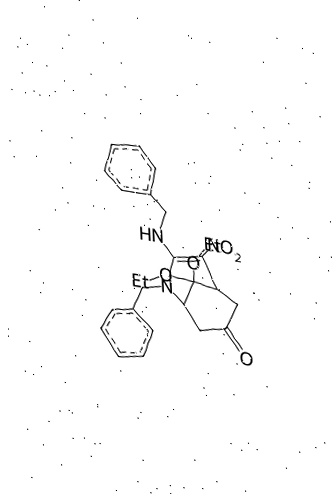 CCOC1(OCC)C2CC(=O)CC1N(Cc1ccccc1)C(NCc1ccccc1)=C2[N+](=O)[O-]